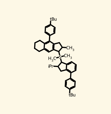 CC(C)C1Cc2c(-c3ccc(C(C)(C)C)cc3)cccc2C1S(C)(C)C1c2cc3c(c(-c4ccc(C(C)(C)C)cc4)c2CC1C)CCCC3